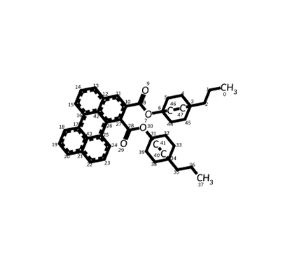 CCCC12CCC(OC(=O)c3cc4cccc5c6cccc7cccc(c(c3C(=O)OC38CCC(CCC)(CC3)CC8)c45)c76)(CC1)CC2